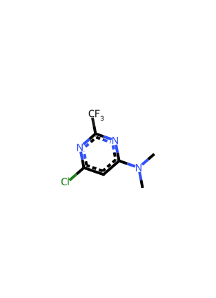 CN(C)c1cc(Cl)nc(C(F)(F)F)n1